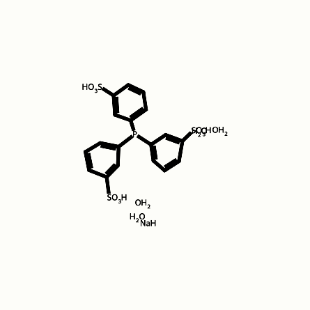 O.O.O.O.O=S(=O)(O)c1cccc(P(c2cccc(S(=O)(=O)O)c2)c2cccc(S(=O)(=O)O)c2)c1.[NaH]